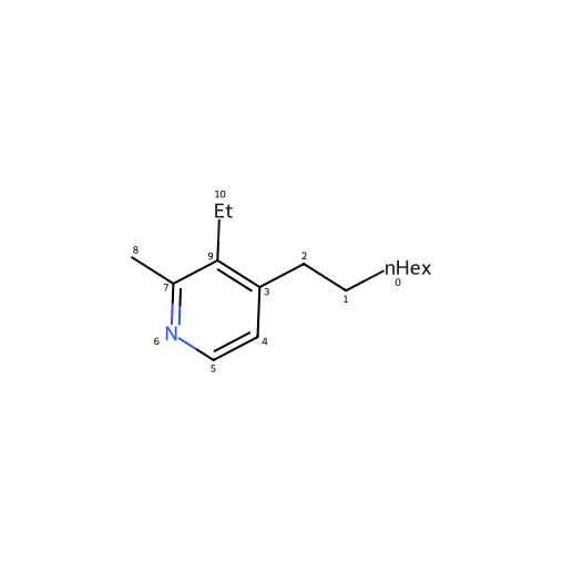 CCCCCCCCc1ccnc(C)c1CC